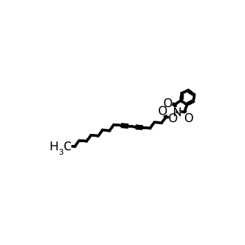 CCCCCCCCCC#CC#CCCCC(=O)ON1C(=O)c2ccccc2C1=O